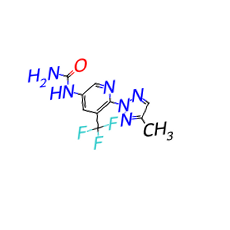 Cc1cnn(-c2ncc(NC(N)=O)cc2C(F)(F)F)n1